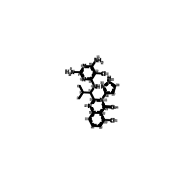 CC(C)C(Nc1nc(N)nc(N)c1Cl)c1nc2cccc(Cl)c2c(=O)n1-c1cc[nH]n1